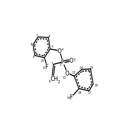 C=CP(=O)(Oc1ccccc1F)Oc1ccccc1F